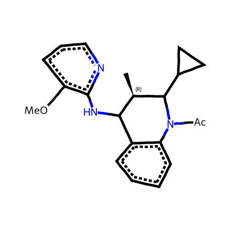 COc1cccnc1NC1c2ccccc2N(C(C)=O)C(C2CC2)[C@@H]1C